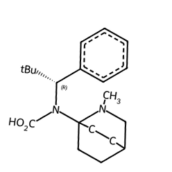 CN1CC2CCC1(N(C(=O)O)[C@@H](c1ccccc1)C(C)(C)C)CC2